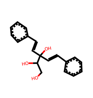 OCC(O)C(O)(C=Cc1ccccc1)C=Cc1ccccc1